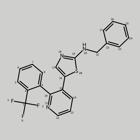 FC(F)(F)c1ccccc1-c1ncccc1-c1cnc(NCc2ccccc2)s1